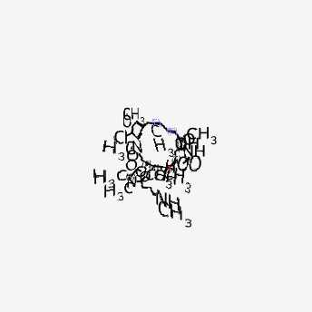 CNCCCC(=O)N(C)[C@@H](C)C(=O)O[C@H]1CC(=O)N(C)c2cc(cc(OC)c2Cl)C/C(C)=C/C=C/[C@@H](OC)[C@@]2(O)C[C@H](OC(=O)N2)[C@@H](C)C(O)[C@H]1C